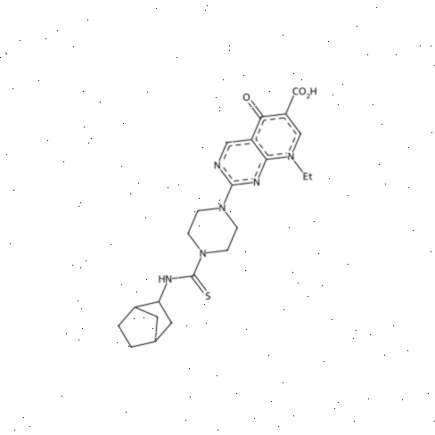 CCn1cc(C(=O)O)c(=O)c2cnc(N3CCN(C(=S)NC4CC5CCC4C5)CC3)nc21